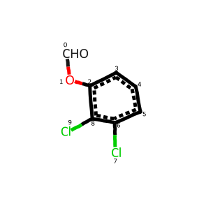 O=COc1cccc(Cl)c1Cl